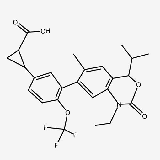 CCN1C(=O)OC(C(C)C)c2cc(C)c(-c3cc(C4CC4C(=O)O)ccc3OC(F)(F)F)cc21